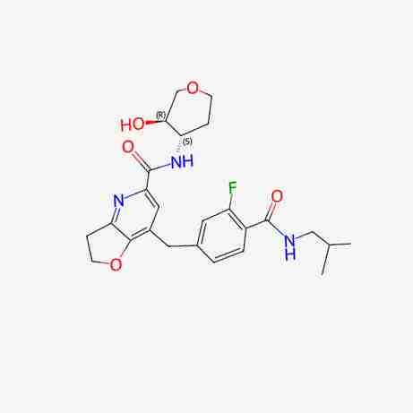 CC(C)CNC(=O)c1ccc(Cc2cc(C(=O)N[C@H]3CCOC[C@@H]3O)nc3c2OCC3)cc1F